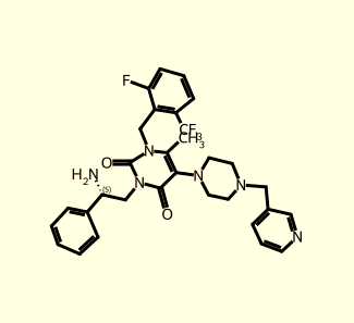 Cc1c(N2CCN(Cc3cccnc3)CC2)c(=O)n(C[C@@H](N)c2ccccc2)c(=O)n1Cc1c(F)cccc1C(F)(F)F